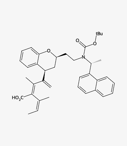 C=C(/C(C)=C(C(=O)O)\C(C)=C/C)[C@@H]1C[C@H](CCN(C(=O)OC(C)(C)C)[C@H](C)c2cccc3ccccc23)Oc2ccccc21